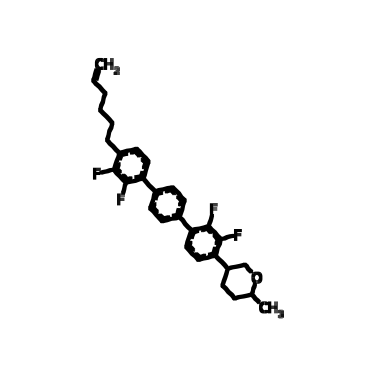 C=CCCCCc1ccc(-c2ccc(-c3ccc(C4CCC(C)OC4)c(F)c3F)cc2)c(F)c1F